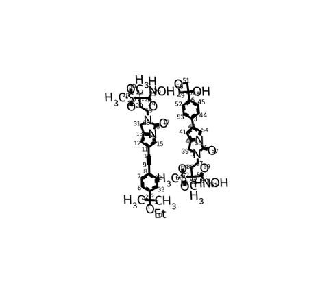 CCOC(C)(C)c1ccc(C#Cc2cc3n(c2)C(=O)N(CC[C@](C)(C(=O)NO)S(C)(=O)=O)C3)cc1.C[C@@](CCN1Cc2cc(-c3ccc(C4(O)COC4)cc3)cn2C1=O)(C(=O)NO)S(C)(=O)=O